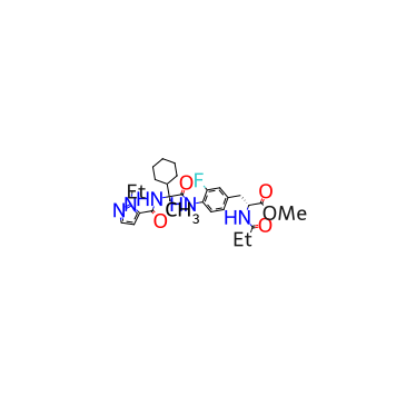 CCC(=O)N[C@H](Cc1ccc(NC(=O)[C@](C)(NC(=O)c2ccnn2CC)C2CCCCC2)c(F)c1)C(=O)OC